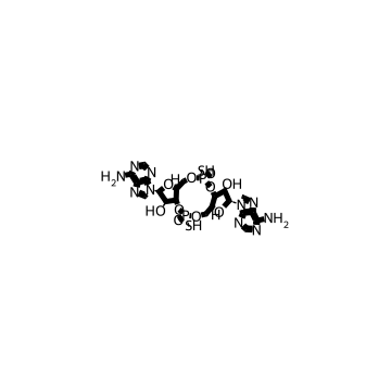 Nc1ncnc2c1ncn2[C@@H]1O[C@@H]2CO[P@@](=O)(S)OC3[C@@H](CO[P@](=O)(S)OC2[C@@H]1O)O[C@@H](n1cnc2c(N)ncnc21)[C@H]3O